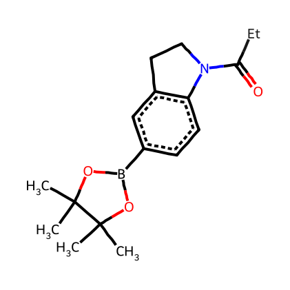 CCC(=O)N1CCc2cc(B3OC(C)(C)C(C)(C)O3)ccc21